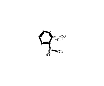 [Cs+].[Cs+].[O-]B([O-])c1ccccc1